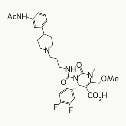 COCC1=C(C(=O)O)[C@H](c2ccc(F)c(F)c2)N(C(=O)NCCCN2CCC(c3cccc(NC(C)=O)c3)CC2)C(=O)N1C